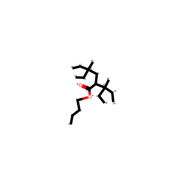 CCCCOC(=O)C(CC(C)(CC)CC)C(C)(CC)CC